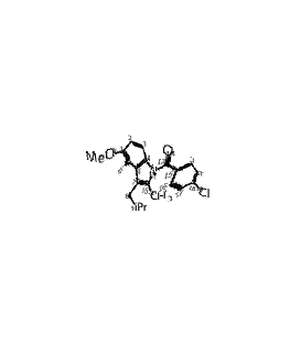 COc1ccc2c(c1)c(CC(C)C)c(C)n2C(=O)c1ccc(Cl)cc1